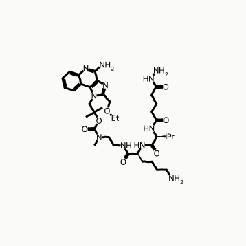 CCOCc1nc2c(N)nc3ccccc3c2n1CC(C)(C)OC(=O)N(C)CCNC(=O)[C@H](CCCCN)NC(=O)[C@@H](NC(=O)CCCC(=O)NN)C(C)C